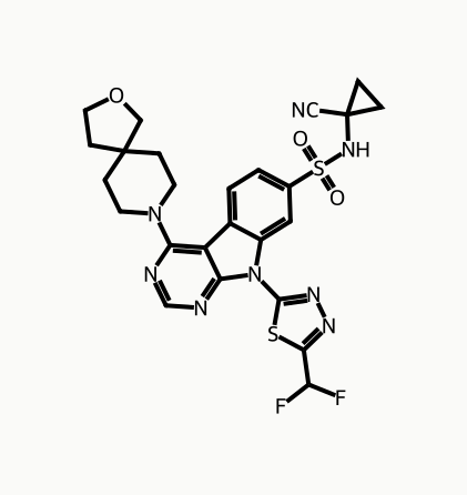 N#CC1(NS(=O)(=O)c2ccc3c4c(N5CCC6(CCOC6)CC5)ncnc4n(-c4nnc(C(F)F)s4)c3c2)CC1